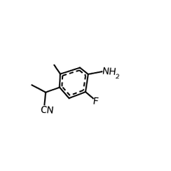 Cc1cc(N)c(F)cc1C(C)C#N